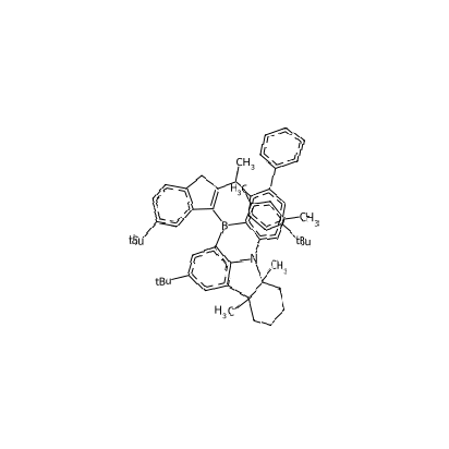 Cc1cc(C)c2c(c1)N1c3c(cc(C(C)(C)C)cc3C3(C)CCCCC13C)B2C1=C(C(C)c2ccc(C(C)(C)C)cc2-c2ccccc2)Cc2ccc(C(C)(C)C)cc21